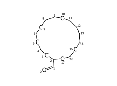 O=CC1CCCCCCCCCCCCCCC1